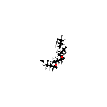 CCOC(F)(F)C(F)(OC(F)(F)C(F)(OC(F)(F)C(F)(OC(F)(F)C(F)(F)C(F)(F)F)C(F)(F)F)C(F)(F)F)C(F)(F)F